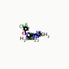 BC1(B)CN(C(=O)c2ccc(F)c(Cl)c2)CCC1(F)C(B)(B)NCc1ccc(C)cn1